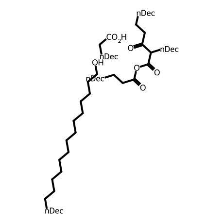 CCCCCCCCCCCC(=O)O.CCCCCCCCCCCCC(=O)OC(=O)C(CCCCCCCCCC)C(=O)CCCCCCCCCCCC.CCCCCCCCCCCCCCCCCCCCCCCCO